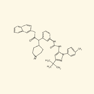 Cc1ccc(-n2nc(C(C)(C)C)cc2NC(=O)Nc2cccc(C(C(=O)Cc3ccc4ccccc4c3)C3CCNCC3)c2)cc1